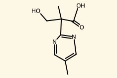 Cc1cnc(C(C)(CO)C(=O)O)nc1